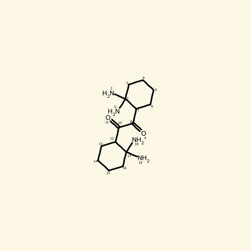 NC1(N)CCCCC1C(=O)C(=O)C1CCCCC1(N)N